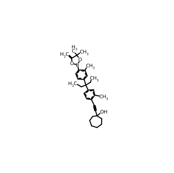 C=C1OB(c2ccc(C(CC)(CC)c3ccc(C#CC4(O)CCCCCC4)c(C)c3)cc2C)OC1(C)C